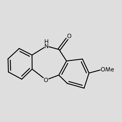 COc1ccc2c(c1)C(=O)Nc1ccccc1O2